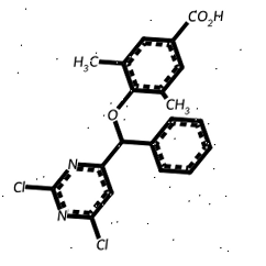 Cc1cc(C(=O)O)cc(C)c1OC(c1ccccc1)c1cc(Cl)nc(Cl)n1